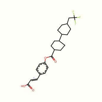 O=C(O)/C=C/c1ccc(OC(=O)C2CCC(C3CCC(CC(F)(F)F)CC3)CC2)cc1